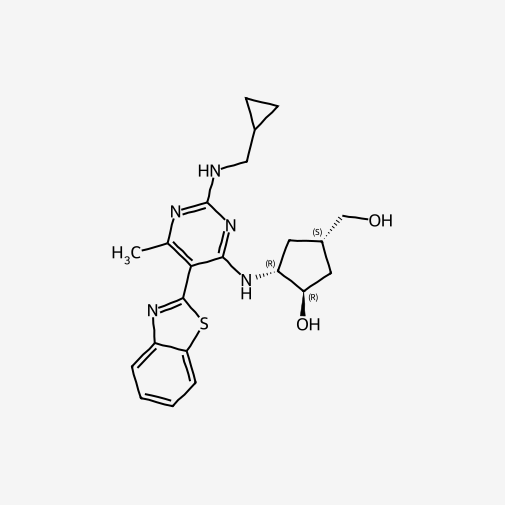 Cc1nc(NCC2CC2)nc(N[C@@H]2C[C@H](CO)C[C@H]2O)c1-c1nc2ccccc2s1